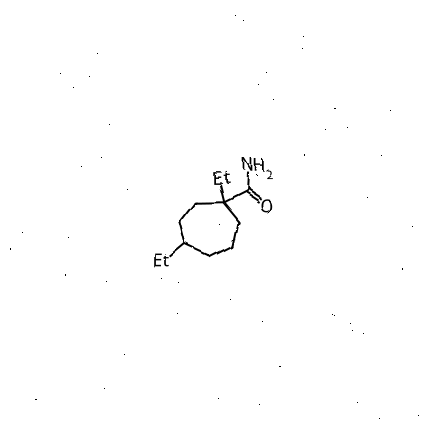 CCC1CCCC(CC)(C(N)=O)CC1